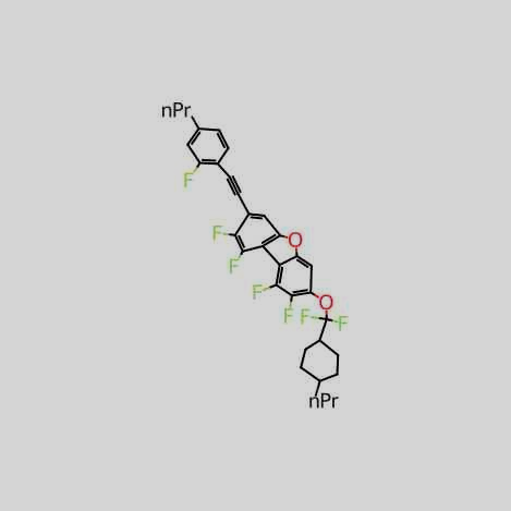 CCCc1ccc(C#Cc2cc3oc4cc(OC(F)(F)C5CCC(CCC)CC5)c(F)c(F)c4c3c(F)c2F)c(F)c1